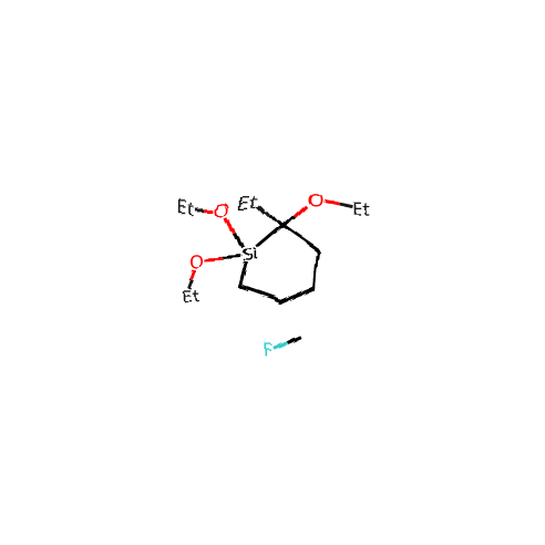 CCOC1(CC)CCCC[Si]1(OCC)OCC.CF